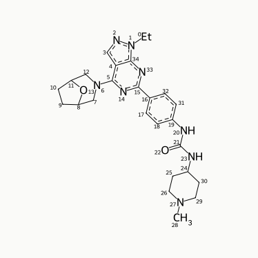 CCn1ncc2c(N3CC4CCC(C3)O4)nc(-c3ccc(NC(=O)NC4CCN(C)CC4)cc3)nc21